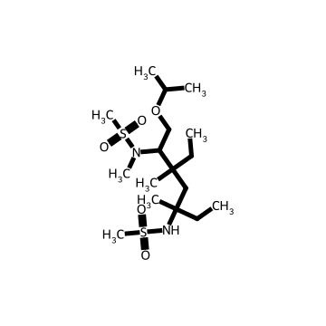 CCC(C)(CC(C)(CC)C(COC(C)C)N(C)S(C)(=O)=O)NS(C)(=O)=O